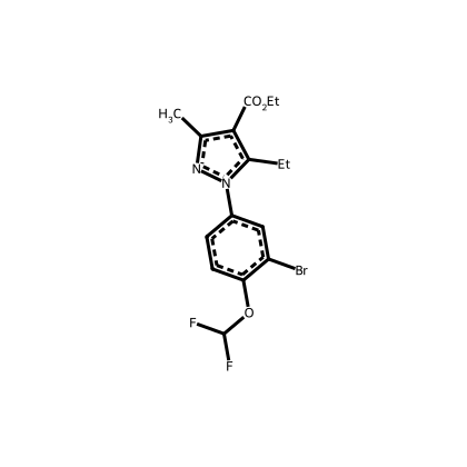 CCOC(=O)c1c(C)nn(-c2ccc(OC(F)F)c(Br)c2)c1CC